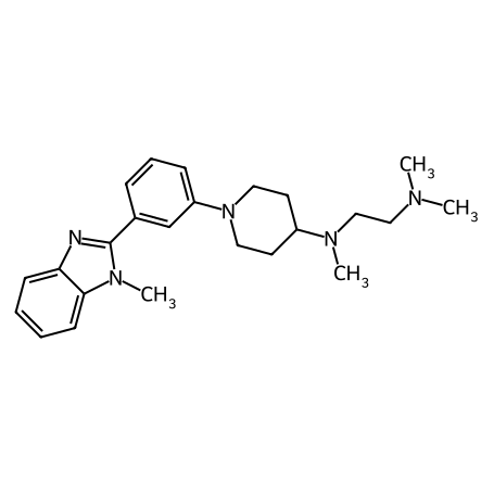 CN(C)CCN(C)C1CCN(c2cccc(-c3nc4ccccc4n3C)c2)CC1